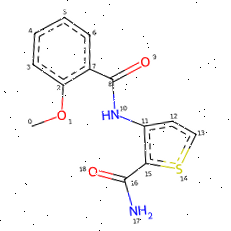 COc1ccccc1C(=O)Nc1ccsc1C(N)=O